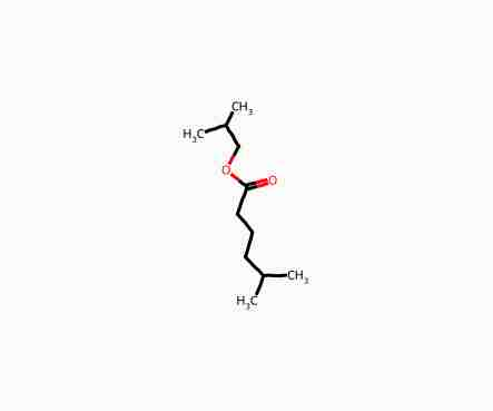 CC(C)CCCC(=O)OCC(C)C